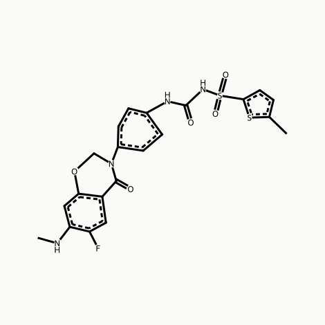 CNc1cc2c(cc1F)C(=O)N(c1ccc(NC(=O)NS(=O)(=O)c3ccc(C)s3)cc1)CO2